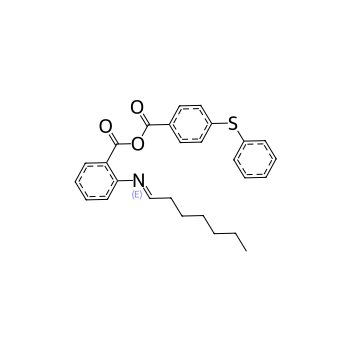 CCCCCC/C=N/c1ccccc1C(=O)OC(=O)c1ccc(Sc2ccccc2)cc1